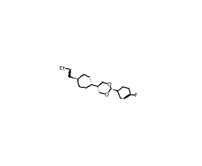 CC/C=C/[C@H]1CC[C@H]([C@H]2CO[C@H](C3CC=C(F)CC3)OC2)CC1